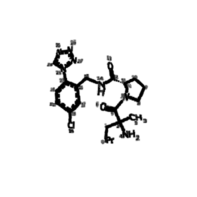 CC(C)CC(C)(N)C(=O)N1CCC[C@H]1C(=O)NCc1cc(Cl)ccc1-n1cnnn1